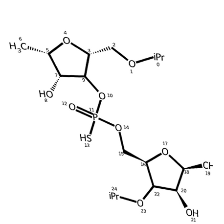 CC(C)OC[C@H]1O[C@@H](C)[C@@H](O)C1OP(=O)(S)OC[C@H]1O[C@@H](C)[C@@H](O)C1OC(C)C